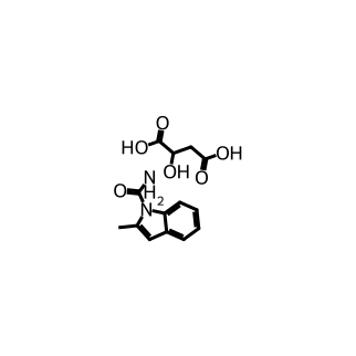 Cc1cc2ccccc2n1C(N)=O.O=C(O)CC(O)C(=O)O